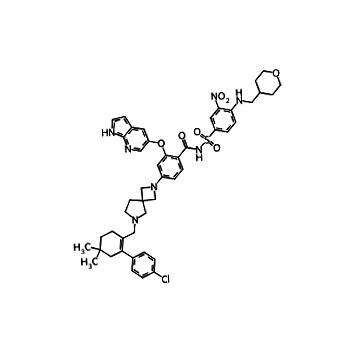 CC1(C)CCC(CN2CCC3(C2)CN(c2ccc(C(=O)NS(=O)(=O)c4ccc(NCC5CCOCC5)c([N+](=O)[O-])c4)c(Oc4cnc5[nH]ccc5c4)c2)C3)=C(c2ccc(Cl)cc2)C1